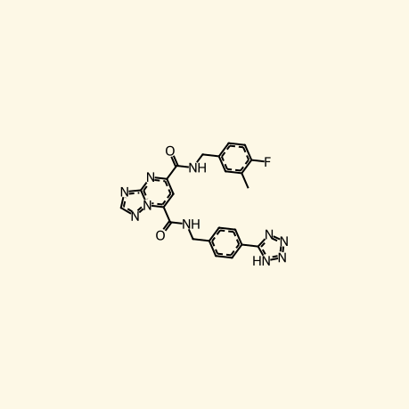 Cc1cc(CNC(=O)c2cc(C(=O)NCc3ccc(-c4nnn[nH]4)cc3)n3ncnc3n2)ccc1F